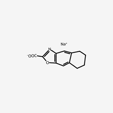 O=C([O-])c1nc2cc3c(cc2o1)CCCC3.[Na+]